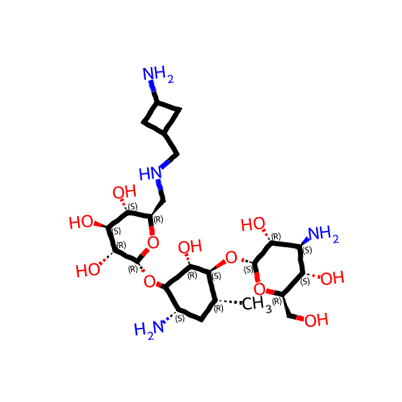 C[C@@H]1C[C@H](N)C(O[C@H]2O[C@H](CNCC3CC(N)C3)[C@@H](O)[C@H](O)[C@H]2O)[C@H](O)[C@H]1O[C@H]1O[C@H](CO)[C@@H](O)[C@H](N)[C@H]1O